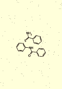 NC(=S)c1ccccc1.O=C(Nc1ccccc1)c1ccccc1